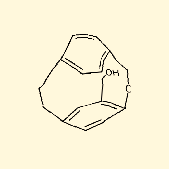 OCc1cc2ccc1CCc1ccc(cc1)CC2